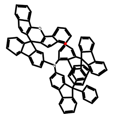 c1ccc(C2(c3ccccc3)c3ccccc3-c3ccc(N(c4ccc5c(c4)C4(c6ccccc6-5)c5ccc6ccccc6c5Oc5c4ccc4ccccc54)c4cccc5c4-c4ccccc4C54c5ccccc5-c5ccccc54)cc32)cc1